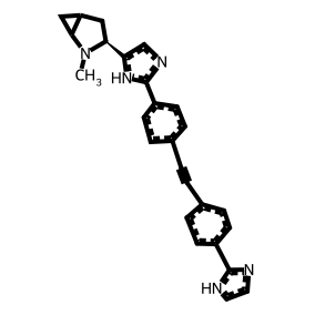 CN1C2CC2C[C@H]1c1cnc(-c2ccc(C#Cc3ccc(-c4ncc[nH]4)cc3)cc2)[nH]1